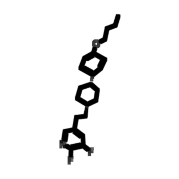 CCCCOc1ccc([C@H]2CC[C@H](CCc3cnc(F)c(F)c3)CC2)cc1